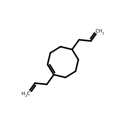 C=CCC1=CCCC(CC=C)CCC1